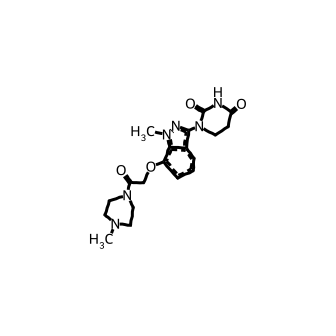 CN1CCN(C(=O)COc2cccc3c(N4CCC(=O)NC4=O)nn(C)c23)CC1